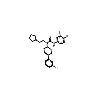 O=C(Nc1ccc(F)c(F)c1)N(CCN1CCCC1)C1CC=C(c2cccc(O)c2)CC1